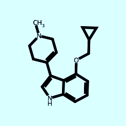 CN1CC=C(c2c[nH]c3cccc(OCC4CC4)c23)CC1